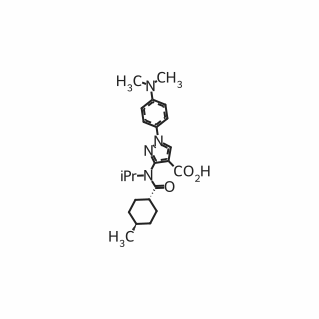 CC(C)N(c1nn(-c2ccc(N(C)C)cc2)cc1C(=O)O)C(=O)[C@H]1CC[C@H](C)CC1